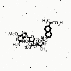 COc1nc(N)nc2c1ncn2C1O[C@H](COP(=O)(NC(C)C(=O)OCC(C)(C)C)Oc2ccc3cc(C(C)C(=O)O)ccc3c2)[C@@H](O)[C@@]1(C)O